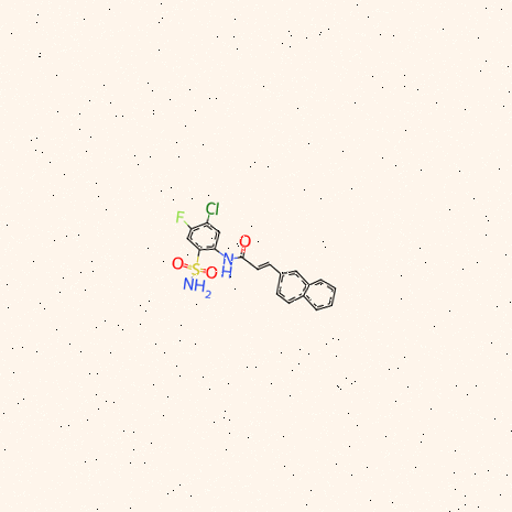 NS(=O)(=O)c1cc(F)c(Cl)cc1NC(=O)/C=C/c1ccc2ccccc2c1